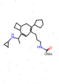 COC(=O)NCCCC1=C(C2CCCC2)CC2CCC2C(C(C)NC2CC2)=C1